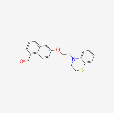 O=Cc1cccc2cc(OCCN3CCSc4ccccc43)ccc12